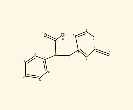 C=C/C=C(\C=C/C)CC(C(=O)O)c1ccccc1